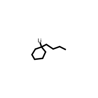 [Li][C]1(CCCC)CCCCC1